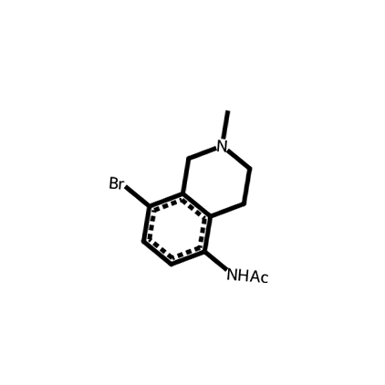 CC(=O)Nc1ccc(Br)c2c1CCN(C)C2